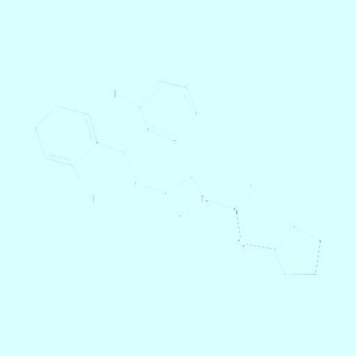 O=C(NC1CCCC1)N1CC(OC(c2ccccc2Cl)c2ccccc2Cl)C1